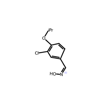 CC(C)Oc1ccc(/C=N\O)cc1Cl